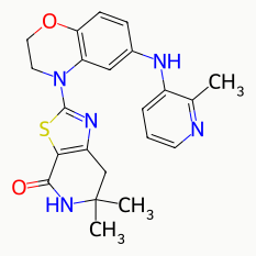 Cc1ncccc1Nc1ccc2c(c1)N(c1nc3c(s1)C(=O)NC(C)(C)C3)CCO2